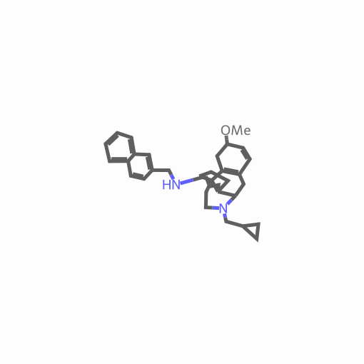 COC1C=CC2=C(C1)C13CCN(CC4CC4)C(C2)C12CCC(NCc1ccc4ccccc4c1)C3CC2